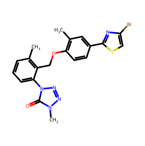 Cc1cc(-c2nc(Br)cs2)ccc1OCc1c(C)cccc1-n1nnn(C)c1=O